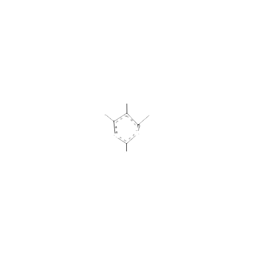 [2H]c1nc(Cl)c(C)c(Cl)n1